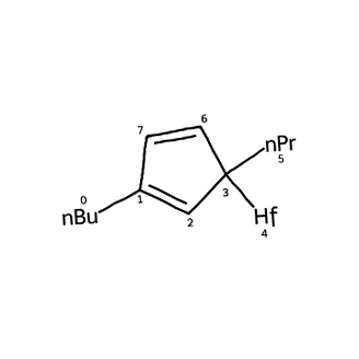 CCCCC1=C[C]([Hf])(CCC)C=C1